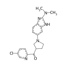 CN(C)c1nc2ccc(N3CCC(C(=O)c4ccc(Cl)cn4)C3)cc2[nH]1